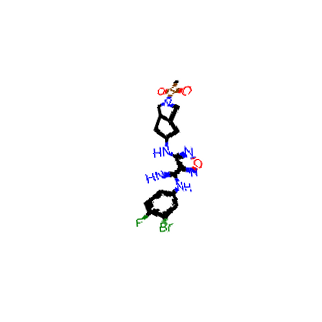 CS(=O)(=O)N1CC2CC(Nc3nonc3C(=N)Nc3ccc(F)c(Br)c3)CC2C1